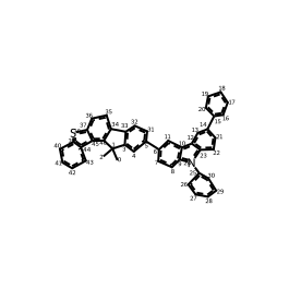 CC1(C)c2cc(-c3ccc4c(c3)c3cc(-c5ccccc5)ccc3n4-c3ccccc3)ccc2-c2ccc3sc4ccccc4c3c21